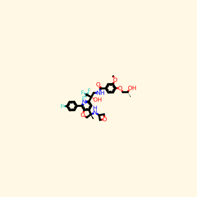 COc1cc(C(=O)NC[C@@](O)(c2cc3c(c(-c4ccc(F)cc4)n2)OC[C@@]3(C)NC2COC2)C(F)(F)F)ccc1OC[C@@H](C)O